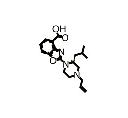 C=CCN1CCN(c2nc3c(C(=O)O)cccc3o2)[C@@H](CC(C)C)C1